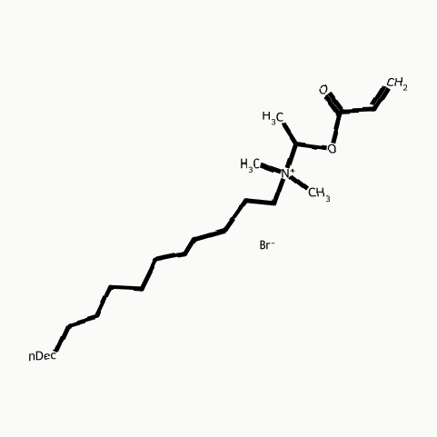 C=CC(=O)OC(C)[N+](C)(C)CCCCCCCCCCCCCCCCCCCC.[Br-]